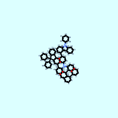 c1ccc(-c2cccc3cccc(-c4ccccc4N(c4ccc(-c5cccc6c5c5ccccc5n6-c5ccccc5)cc4)c4ccccc4-c4ccc5c(c4)C(c4ccccc4)(c4ccccc4)c4ccccc4-5)c23)cc1